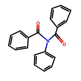 O=C(c1ccccc1)N(C(=O)c1ccccc1)c1[c]cccc1